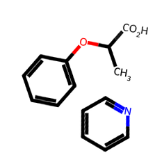 CC(Oc1ccccc1)C(=O)O.c1ccncc1